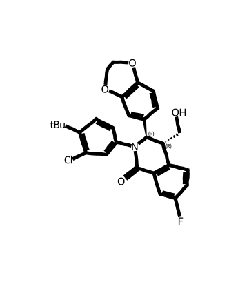 CC(C)(C)c1ccc(N2C(=O)c3cc(F)ccc3[C@@H](CO)[C@@H]2c2ccc3c(c2)OCCO3)cc1Cl